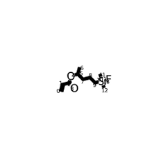 C=CC(=O)OC(C)CCC[Si](C)(C)F